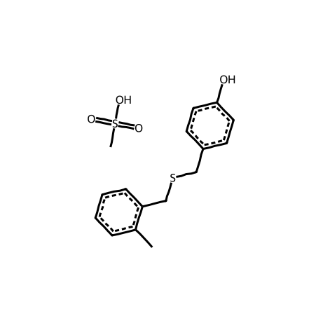 CS(=O)(=O)O.Cc1ccccc1CSCc1ccc(O)cc1